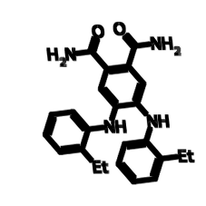 CCc1ccccc1Nc1cc(C(N)=O)c(C(N)=O)cc1Nc1ccccc1CC